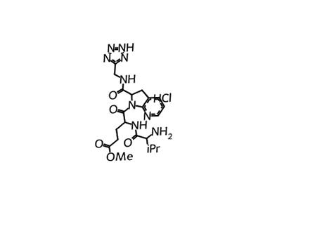 COC(=O)CCC(NC(=O)C(N)C(C)C)C(=O)N1c2ncccc2CC1C(=O)NCc1nn[nH]n1.Cl